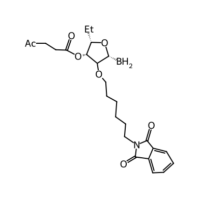 B[C@H]1O[C@@H](CC)[C@@H](OC(=O)CCC(C)=O)C1OCCCCCCN1C(=O)c2ccccc2C1=O